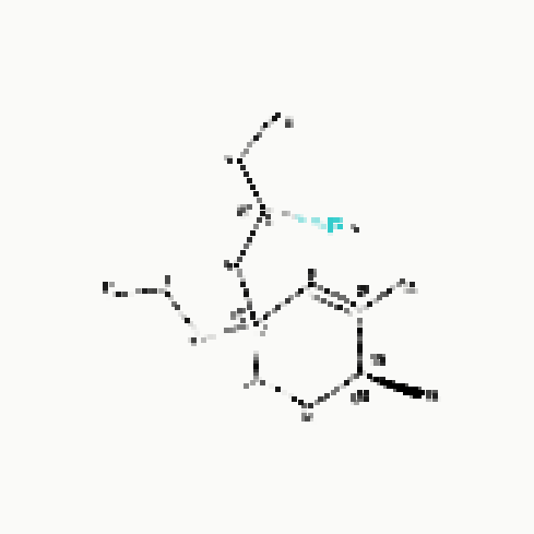 CCC[C@]1(C[C@@H](F)CC)C=C(C)[C@@H](C)CC1